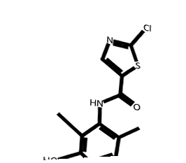 Cc1ccc(O)c(C)c1NC(=O)c1cnc(Cl)s1